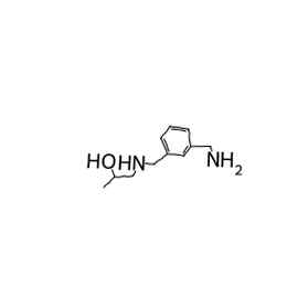 CC(O)CNCc1cccc(CN)c1